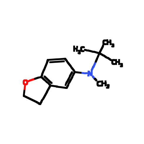 CN(c1ccc2c(c1)CCO2)C(C)(C)C